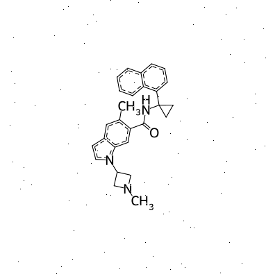 Cc1cc2ccn(C3CN(C)C3)c2cc1C(=O)NC1(c2cccc3ccccc23)CC1